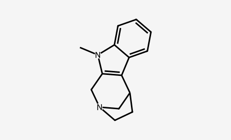 Cn1c2c(c3ccccc31)C1CCN(C2)C1